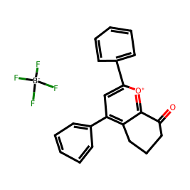 F[B-](F)(F)F.O=C1CCCc2c(-c3ccccc3)cc(-c3ccccc3)[o+]c21